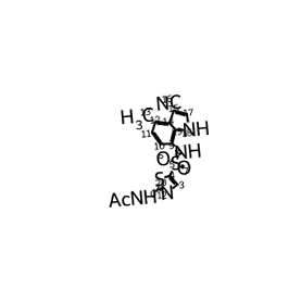 CC(=O)Nc1ncc(S(=O)(=O)Nc2ccc(C)c3c(C#N)c[nH]c23)s1